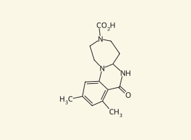 Cc1cc(C)c2c(c1)N1CCN(C(=O)O)CCC1NC2=O